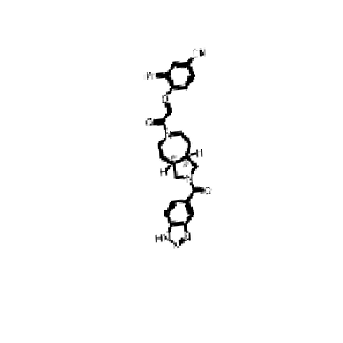 CC(C)c1cc(C#N)ccc1OCC(=O)N1CC[C@@H]2CN(C(=O)c3ccc4[nH]nnc4c3)C[C@@H]2CC1